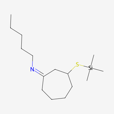 CCCCCN=C1CCCCC(S[Si](C)(C)C)C1